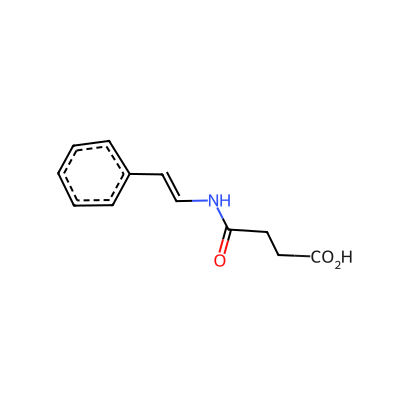 O=C(O)CCC(=O)NC=Cc1ccccc1